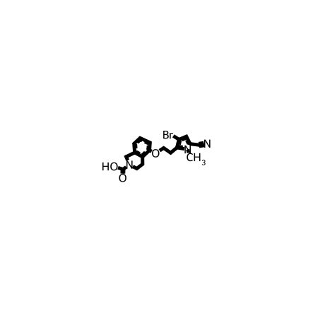 Cn1c(C#N)cc(Br)c1CCOc1cccc2c1CCN(C(=O)O)C2